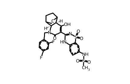 CS(=O)(=O)Nc1ccc2c(c1)S(=O)(=O)N=C(C1=C(O)[C@@H]3C4CCC(CC4)[C@@H]3N(Cc3ccc(F)cc3F)C1=O)N2